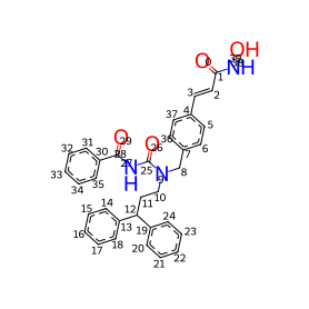 O=C(C=Cc1ccc(CN(CCC(c2ccccc2)c2ccccc2)C(=O)NC(=O)c2ccccc2)cc1)NO